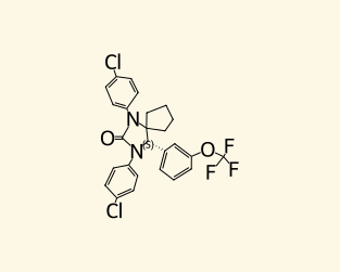 O=C1N(c2ccc(Cl)cc2)[C@@H](c2cccc(OC(F)(F)F)c2)C2(CCCC2)N1c1ccc(Cl)cc1